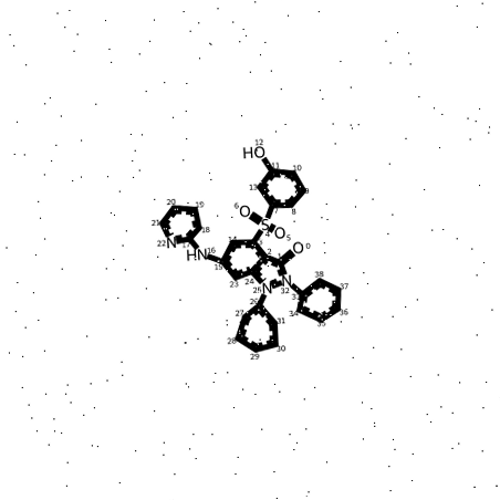 O=c1c2c(S(=O)(=O)c3cccc(O)c3)cc(Nc3ccccn3)cc2n(-c2ccccc2)n1-c1ccccc1